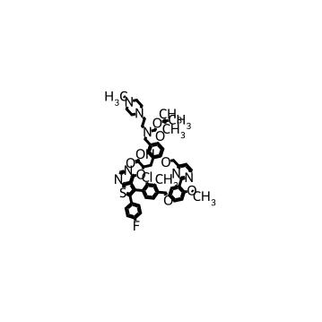 COc1ccccc1-c1nccc(COc2ccc(CN(CCN3CCN(C)CC3)C(=O)OC(C)(C)C)cc2CC(Oc2ncnc3sc(-c4ccc(F)cc4)c(-c4ccc(C=O)c(C)c4Cl)c23)C(=O)O)n1